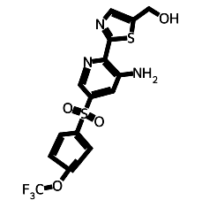 Nc1cc(S(=O)(=O)c2ccc(OC(F)(F)F)cc2)cnc1-c1ncc(CO)s1